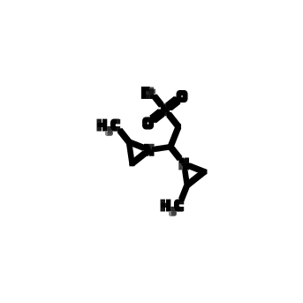 CCS(=O)(=O)CC(N1CC1C)N1CC1C